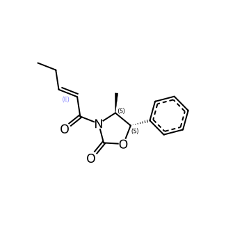 CC/C=C/C(=O)N1C(=O)O[C@@H](c2ccccc2)[C@@H]1C